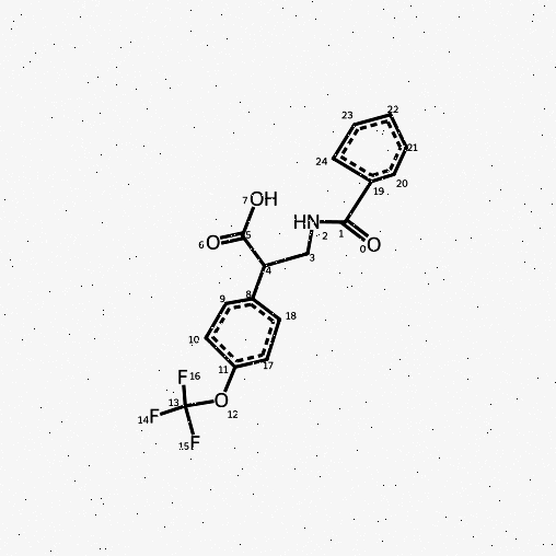 O=C(NCC(C(=O)O)c1ccc(OC(F)(F)F)cc1)c1ccccc1